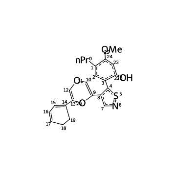 CCCc1cc(-c2sncc2C2=COC=C(C3=CC=CCC3)O2)c(O)cc1OC